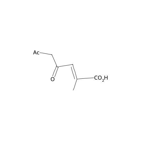 CC(=O)CC(=O)C=C(C)C(=O)O